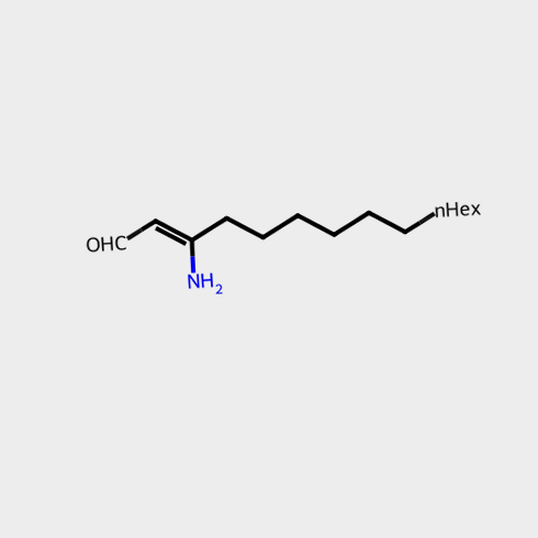 CCCCCCCCCCCCC(N)=CC=O